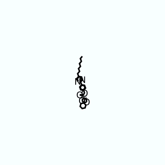 CCCCCCCCc1cnc(-c2ccc(OC(=O)[C@H]3COC4(CCCCC4)O3)cc2)nc1